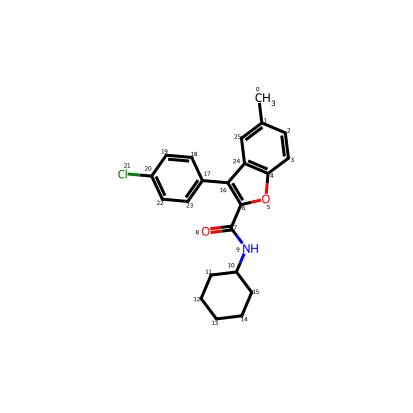 Cc1ccc2oc(C(=O)NC3CCCCC3)c(-c3ccc(Cl)cc3)c2c1